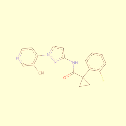 N#Cc1cnccc1-n1ccc(NC(=O)C2(c3ccccc3F)CC2)n1